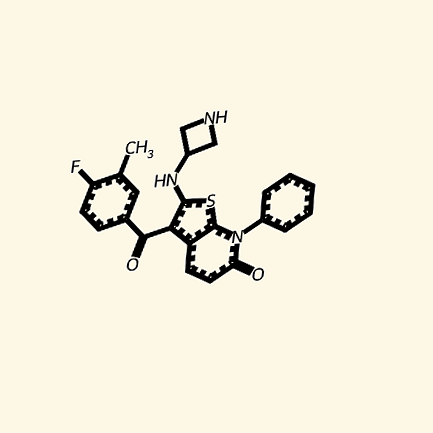 Cc1cc(C(=O)c2c(NC3CNC3)sc3c2ccc(=O)n3-c2ccccc2)ccc1F